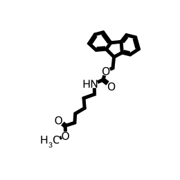 COC(=O)CCCCCNC(=O)OCC1c2ccccc2-c2ccccc21